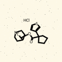 Cl.O=C(OC1CN2CCC1CC2)C1(c2ccsc2)CCCC1